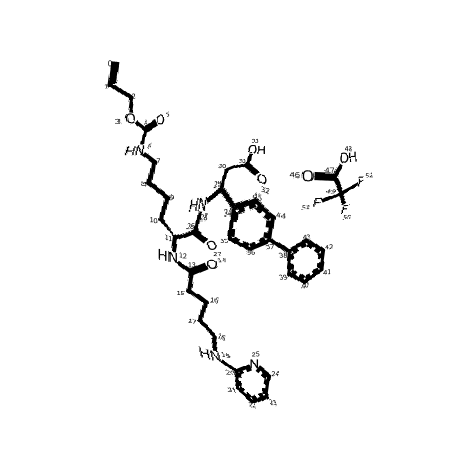 C=CCOC(=O)NCCCC[C@H](NC(=O)CCCCNc1ccccn1)C(=O)NC(CC(=O)O)c1ccc(-c2ccccc2)cc1.O=C(O)C(F)(F)F